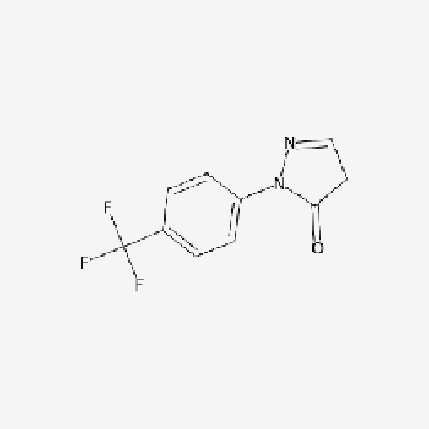 O=C1CC=NN1c1ccc(C(F)(F)F)cc1